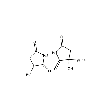 CCCCCCC1(O)CC(=O)NC1=O.O=C1CC(O)C(=O)N1